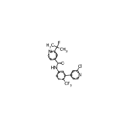 CC(C)(F)c1cc(C(=O)Nc2ccc(C(F)(F)F)c(-c3ccnc(Cl)c3)c2)ccn1